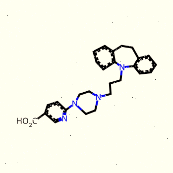 O=C(O)c1ccc(N2CCN(CCCN3c4ccccc4CCc4ccccc43)CC2)nc1